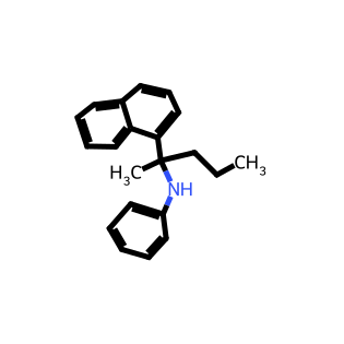 CCCC(C)(Nc1ccccc1)c1cccc2ccccc12